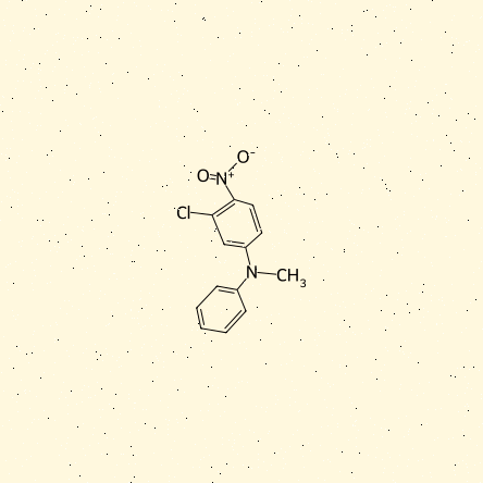 CN(c1ccccc1)c1ccc([N+](=O)[O-])c(Cl)c1